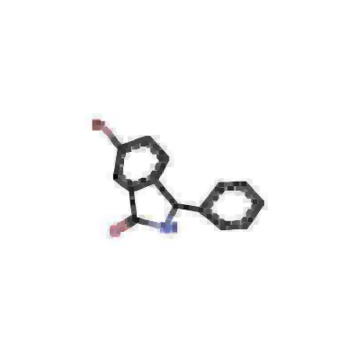 O=C1NC(c2ccccc2)c2ccc(Br)cc21